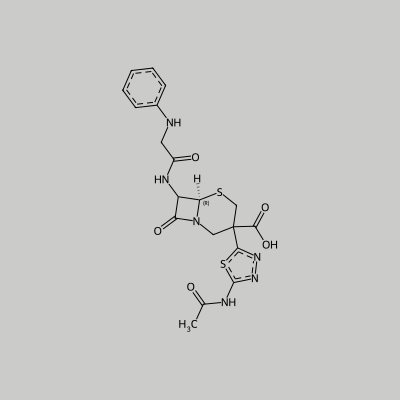 CC(=O)Nc1nnc(C2(C(=O)O)CS[C@@H]3C(NC(=O)CNc4ccccc4)C(=O)N3C2)s1